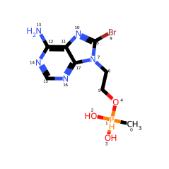 C[PH](O)(O)OCCn1c(Br)nc2c(N)ncnc21